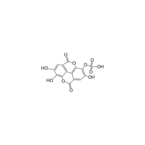 O=c1oc2c(OS(=O)(=O)O)c(O)cc3c(=O)oc4c(O)c(O)cc1c4c23